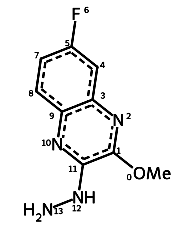 COc1nc2cc(F)ccc2nc1NN